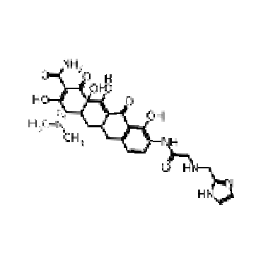 CN(C)[C@@H]1C(O)=C(C(N)=O)C(=O)C2(O)C(O)=C3C(=O)c4c(ccc(NC(=O)CNCc5ncc[nH]5)c4O)CC3CC12